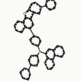 c1ccc(-c2ccc(N(c3ccc(-c4cc5c6cc(-c7ccccc7)ccc6oc5c5ccccc45)cc3)c3cc4ccccc4c4ccccc34)cc2)cc1